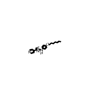 CCCCCCCOc1ccc(Nc2nc(-c3ccncc3)cs2)cc1